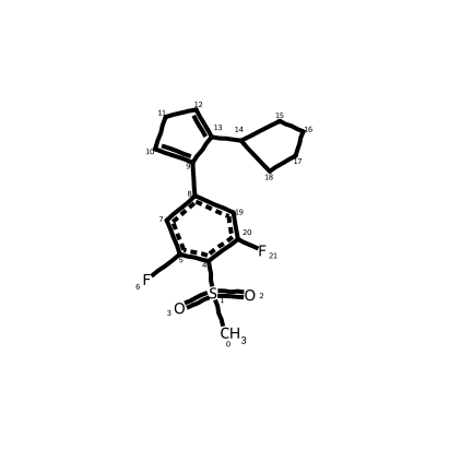 CS(=O)(=O)c1c(F)cc(C2=CCC=C2C2CCCC2)cc1F